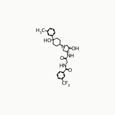 Cc1cccc(C2(O)CCC(N3C[C@@H](O)[C@@H](NC(=O)CNC(=O)c4cccc(C(F)(F)F)c4)C3)CC2)c1